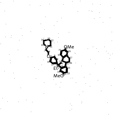 [CH2]C(CC)(c1ccc(OCCN2CCCCC2)cc1)c1cc(OC)ccc1C1CCc2cc(OC)ccc2C1